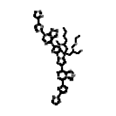 CCCCC(CC)C[Si]1(CC(CC)CCCC)c2cc(-c3ncc(-c4ccc(-c5cccs5)s4)c4nsnc34)sc2-c2sc(-c3ncc(-c4ccc(-c5cccs5)s4)c4nsnc34)cc21